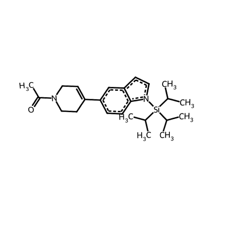 CC(=O)N1CC=C(c2ccc3c(ccn3[Si](C(C)C)(C(C)C)C(C)C)c2)CC1